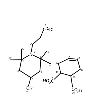 CCCCCCCCCCCCN1C(C)(C)CC(O)CC1(C)C.O=C(O)C1CC=CCC1C(=O)O